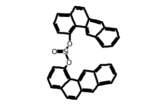 O=[Si](Oc1cccc2ccc3cc4ccccc4cc3c12)Oc1cccc2ccc3cc4ccccc4cc3c12